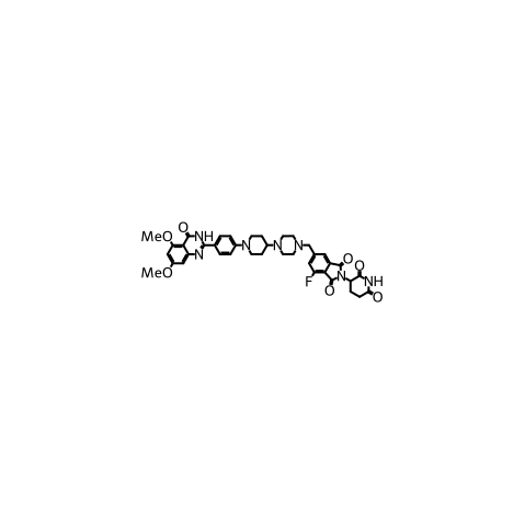 COc1cc(OC)c2c(=O)[nH]c(-c3ccc(N4CCC(N5CCN(Cc6cc(F)c7c(c6)C(=O)N(C6CCC(=O)NC6=O)C7=O)CC5)CC4)cc3)nc2c1